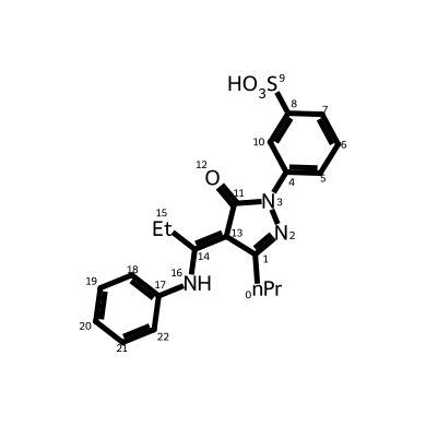 CCCC1=NN(c2cccc(S(=O)(=O)O)c2)C(=O)C1=C(CC)Nc1ccccc1